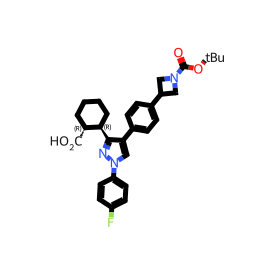 CC(C)(C)OC(=O)N1CC(c2ccc(-c3cn(-c4ccc(F)cc4)nc3[C@@H]3CCCC[C@H]3C(=O)O)cc2)C1